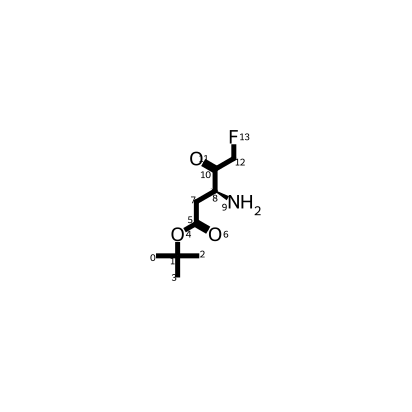 CC(C)(C)OC(=O)C[C@H](N)C(=O)CF